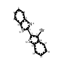 Brc1c(-c2nc3ccccc3s2)sc2ccccc12